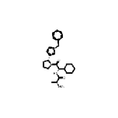 CN[C@@H](C)C(=O)N[C@H](C(=O)N1CCC[C@@H]1c1ccn(Cc2ccccc2)c1)C1CCCCC1